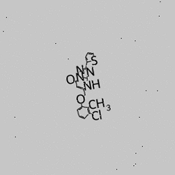 Cc1c(Cl)cccc1OCc1cc(=O)n2nc(-c3cccs3)nc2[nH]1